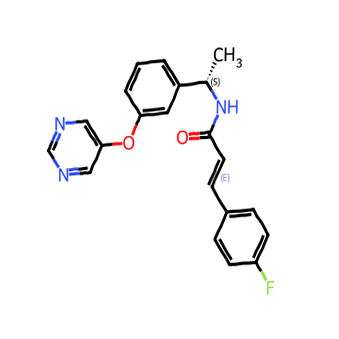 C[C@H](NC(=O)/C=C/c1ccc(F)cc1)c1cccc(Oc2cncnc2)c1